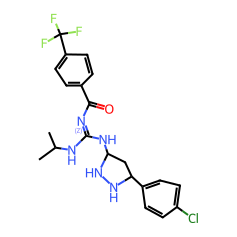 CC(C)N/C(=N/C(=O)c1ccc(C(F)(F)F)cc1)NC1CC(c2ccc(Cl)cc2)NN1